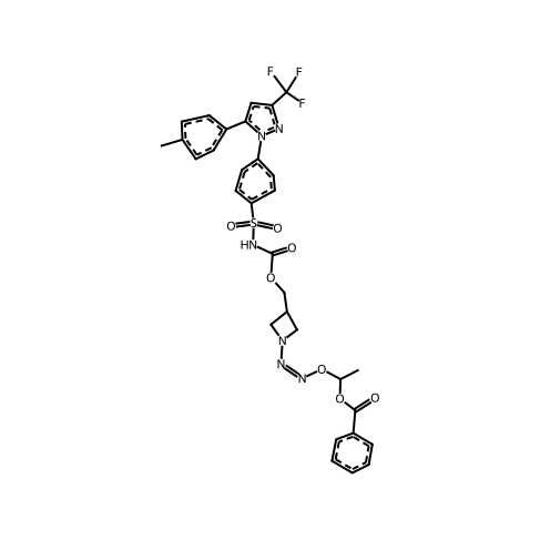 Cc1ccc(-c2cc(C(F)(F)F)nn2-c2ccc(S(=O)(=O)NC(=O)OCC3CN(/N=N\OC(C)OC(=O)c4ccccc4)C3)cc2)cc1